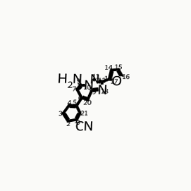 N#Cc1cccc(-c2cc(N)n3nc(-c4ccco4)nc3c2)c1